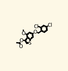 COc1cc(OCc2ccc(Cl)cc2Cl)cc2scc(OC(C)=O)c12